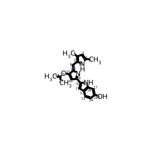 Cc1cc(C)c(/C=C2\N=C(c3cc4ccc(O)cc4[nH]3)C=C2OC(C)C)[nH]1